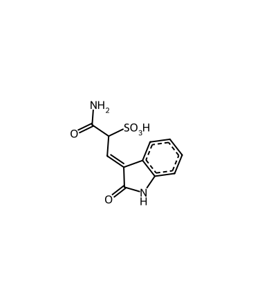 NC(=O)C(C=C1C(=O)Nc2ccccc21)S(=O)(=O)O